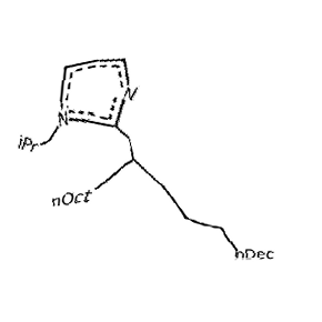 CCCCCCCCCCCCCC(CCCCCCCC)c1nccn1C(C)C